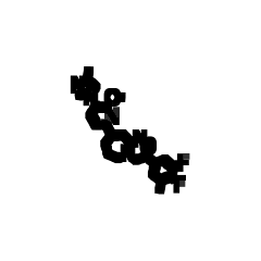 COc1nc(C2=CC3=NOC(c4cc(C)c(F)c(F)c4)CN3CCC2)ccc1-n1cnc(C)c1